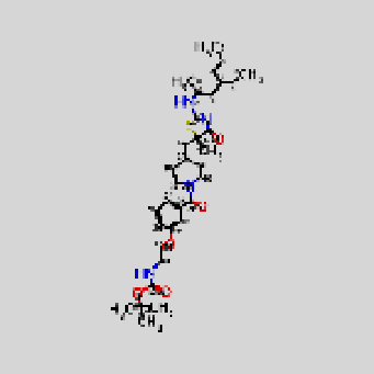 CCCC(CC)C[C@@H](C)NC1=NC(=O)C(C)(CC2CCN(C(=O)c3cccc(OCCNC(=O)OC(C)(C)C)c3)CC2)S1